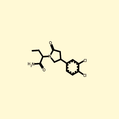 CCC(C(N)=O)N1CC(c2ccc(Cl)c(Cl)c2)CC1=O